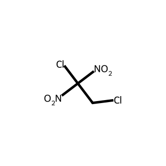 O=[N+]([O-])C(Cl)(CCl)[N+](=O)[O-]